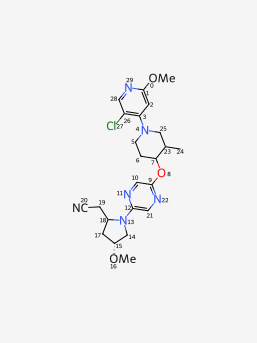 COc1cc(N2CCC(Oc3cnc(N4C[C@H](OC)CC4CC#N)cn3)C(C)C2)c(Cl)cn1